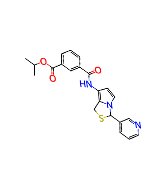 CC(C)OC(=O)c1cccc(C(=O)Nc2ccn3c2CSC3c2cccnc2)c1